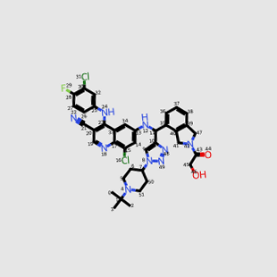 CC(C)(C)N1CCC(n2cc(C(Nc3cc(Cl)c4ncc(C#N)c(Nc5ccc(F)c(Cl)c5)c4c3)c3cccc4c3CN(C(=O)CO)C4)nn2)CC1